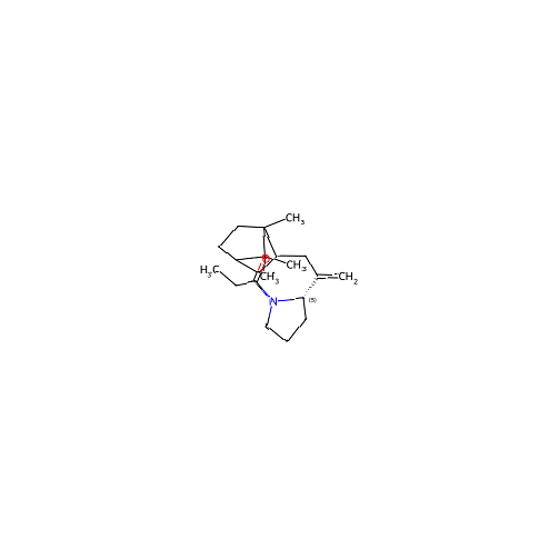 C=C(CC1CC2CCC1(C)C2(C)C)[C@@H]1CCCN1C(=O)CC